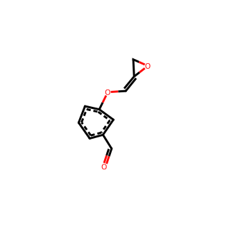 O=Cc1cccc(OC=C2CO2)c1